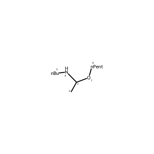 CCCCCOC(C)NCCCC